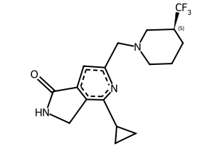 O=C1NCc2c1cc(CN1CCC[C@H](C(F)(F)F)C1)nc2C1CC1